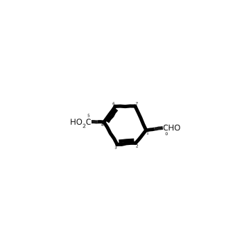 O=CC1C=CC(C(=O)O)=CC1